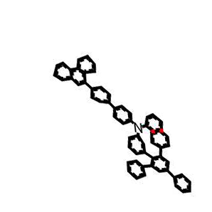 c1ccc(-c2cc(-c3ccccc3)c(-c3cccc(N(c4ccccc4)c4ccc(-c5ccc(-c6cc7ccccc7c7ccccc67)cc5)cc4)c3)c(-c3ccccc3)c2)cc1